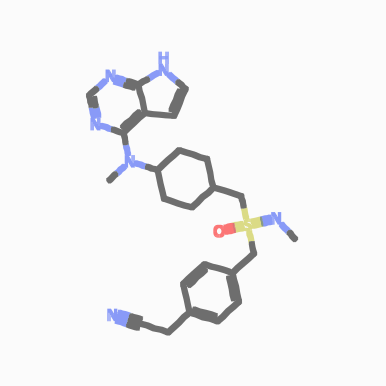 CN=S(=O)(Cc1ccc(CC#N)cc1)CC1CCC(N(C)c2ncnc3[nH]ccc23)CC1